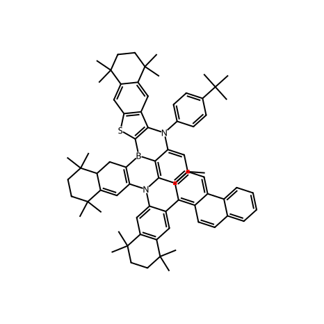 Cc1cc2c3c(c1)N(c1ccc(C(C)(C)C)cc1)c1c(sc4cc5c(cc14)C(C)(C)CCC5(C)C)B3C1=C(C=C3C(C1)C(C)(C)CCC3(C)C)N2c1cc2c(cc1-c1cccc3c1ccc1ccccc13)C(C)(C)CCC2(C)C